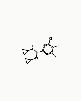 Cc1cc(N(PC2CC2)PC2CC2)nc(Cl)c1I